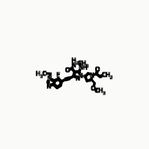 C=CC(=O)N1C[C@@H](n2nc(C#Cc3ccc4ncn(CC)c4c3F)c(C(N)=O)c2NC)C[C@@H]1COC